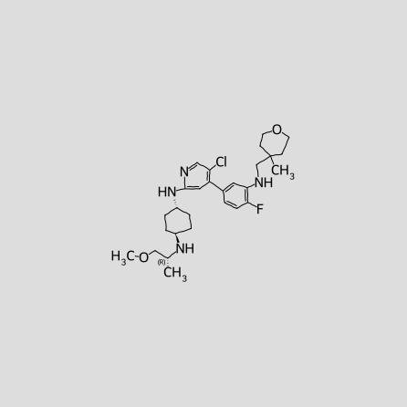 COC[C@@H](C)N[C@H]1CC[C@H](Nc2cc(-c3ccc(F)c(NCC4(C)CCOCC4)c3)c(Cl)cn2)CC1